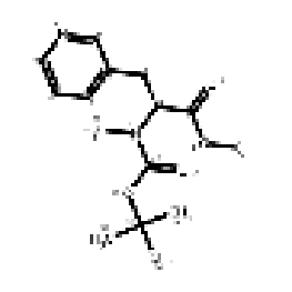 COC(=O)[C@H](Cc1cccnc1)N(C)C(=O)OC(C)(C)C